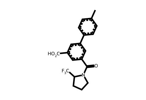 Cc1ccc(-c2cc(C(=O)O)cc(C(=O)N3CCCC3C(F)(F)F)c2)cc1